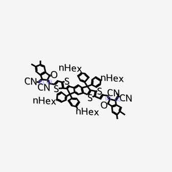 [C-]#[N+]/C(C#N)=C1\C(=C\c2cc3sc4c(c3s2)C(c2ccc(CCCCCC)cc2)(c2ccc(CCCCCC)cc2)c2cc3c(cc2-4)C(c2ccc(CCCCCC)cc2)(c2ccc(CCCCCC)cc2)c2c-3sc3cc(/C=C4\C(=O)c5cc(C)c(C)cc5\C4=C(\C#N)[N+]#[C-])sc23)C(=O)c2cc(C)c(C)cc21